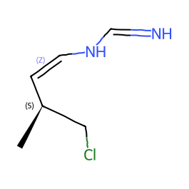 C[C@@H](/C=C\NC=N)CCl